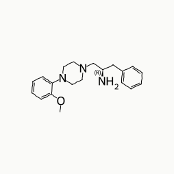 COc1ccccc1N1CCN(C[C@H](N)Cc2ccccc2)CC1